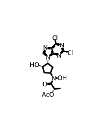 CC(=O)O[C@@H](C)C(=O)N(O)C1C[C@@H](n2cnc3c(Cl)nc(Cl)nc32)[C@@H](O)C1